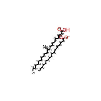 CCCCCCCCCCCCCCCCCC(=O)[O-].CCCCCCCCCCCCCCCCCCCCCC(=O)O.[Na+]